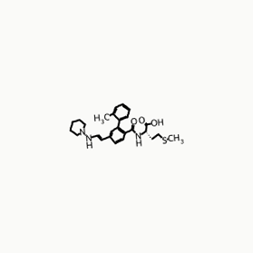 CSCC[C@H](NC(=O)c1ccc(C=CNN2CCCCC2)cc1-c1ccccc1C)C(=O)O